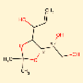 C=CC(O)C1OC(C)(C)O[C@H]1[C@H](O)CO